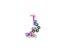 COc1nc(-c2cccc(-c3cccc(-c4ccn5c(=O)c(CNCCCC(=O)O)cnc5c4)c3Cl)c2Cl)ccc1CN(C[C@@H]1CCC(=O)N1)C(=O)OC(C)(C)C